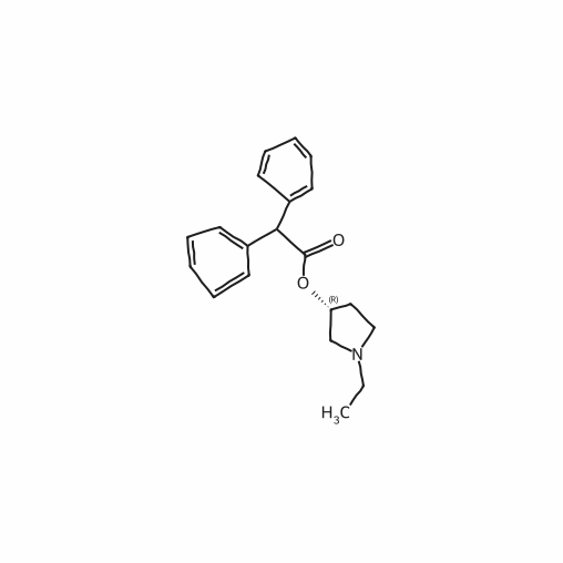 CCN1CC[C@@H](OC(=O)C(c2ccccc2)c2ccccc2)C1